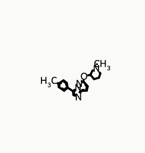 Cc1ccc(-c2cnc3ccc(OC4CCCN(C)C4)nn23)cc1